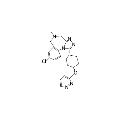 CN1Cc2cc(Cl)ccc2-n2c(nnc2[C@H]2CC[C@H](Oc3cccnn3)CC2)C1